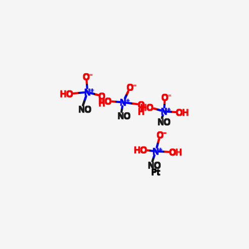 O=N[N+]([O-])(O)O.O=N[N+]([O-])(O)O.O=N[N+]([O-])(O)O.O=N[N+]([O-])(O)O.[Pt]